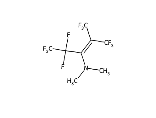 CN(C)C(=C(C(F)(F)F)C(F)(F)F)C(F)(F)C(F)(F)F